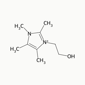 Cc1c(C)[n+](CCO)c(C)n1C